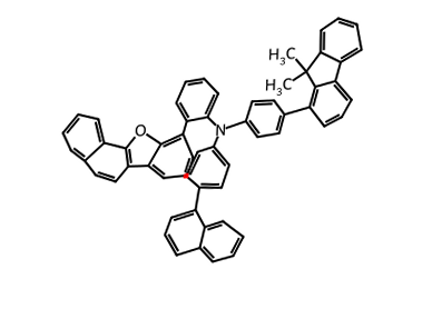 CC1(C)c2ccccc2-c2cccc(-c3ccc(N(c4ccc(-c5cccc6ccccc56)cc4)c4ccccc4-c4cccc5c4oc4c6ccccc6ccc54)cc3)c21